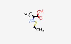 CCSNC(C)C(=O)O